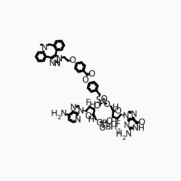 B[P@@]1(=O)OC[C@H]2O[C@@H](n3cnc4c(N)ccnc43)[C@H](F)[C@@H]2O[P@](=O)(SCc2ccc(OC(=O)c3ccc(OCCn4nnc5c4-c4ccccc4CN(C)c4ccccc4-5)cc3)cc2)OC[C@H]2O[C@@H](n3cnc4c(=O)[nH]c(N)nc43)[C@H](F)[C@@H]2O1